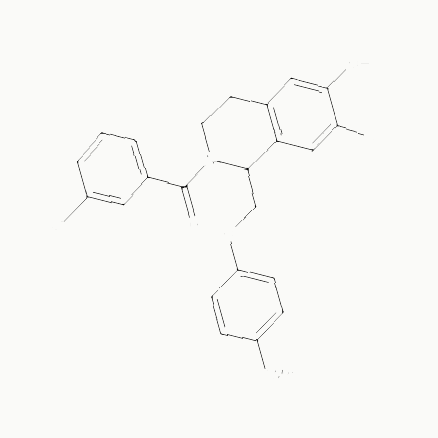 COc1ccc(OCC2c3cc(O)c(O)cc3CCN2C(=O)c2cccc(Cl)c2)cc1